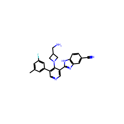 Cc1cc(F)cc(-c2cncc(-c3nc4cc(C#N)ccc4[nH]3)c2N2CC(CN)C2)c1